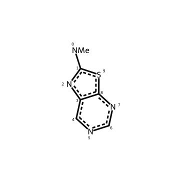 CNc1nc2cncnc2s1